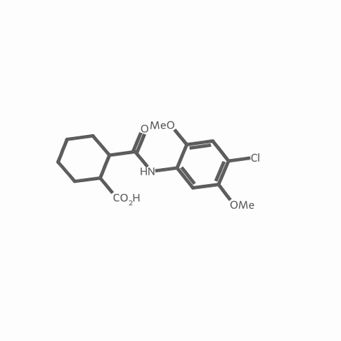 COc1cc(NC(=O)C2CCCCC2C(=O)O)c(OC)cc1Cl